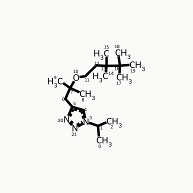 CC(C)n1cc(CC(C)(C)OCCC(C)(C)C(C)(C)C)nn1